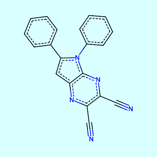 N#Cc1nc2cc(-c3ccccc3)n(-c3ccccc3)c2nc1C#N